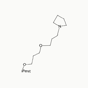 CCCC(C)OCCCOCCCN1CCCC1